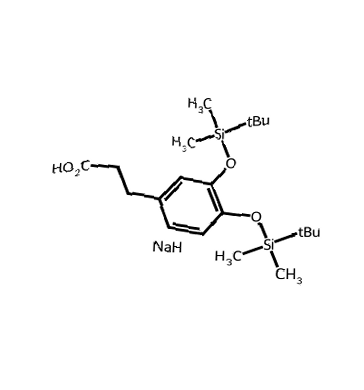 CC(C)(C)[Si](C)(C)Oc1ccc(CCC(=O)O)cc1O[Si](C)(C)C(C)(C)C.[NaH]